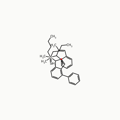 CCC[CH2][Zr]([CH3])([CH3])(=[SiH2])([CH2]CCC)([CH]1C=Cc2c(-c3ccccc3)cccc21)[CH]1C(C)=Cc2ccccc21